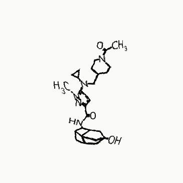 CC(=O)N1CCC(CN(c2cc(C(=O)NC3C4CC5CC3CC(O)(C5)C4)nn2C)C2CC2)CC1